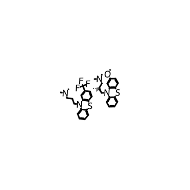 CN(C)CCCN1c2ccccc2Sc2ccc(C(F)(F)F)cc21.COc1ccc2c(c1)N(C[C@H](C)CN(C)C)c1ccccc1S2